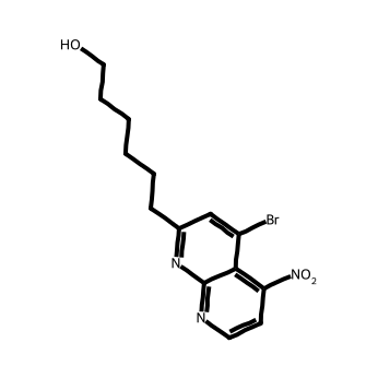 O=[N+]([O-])c1ccnc2nc(CCCCCCO)cc(Br)c12